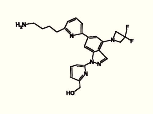 NCCCCc1cccc(-c2cc(N3CC(F)(F)C3)c3cnn(-c4cccc(CO)n4)c3c2)n1